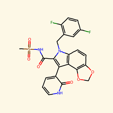 CS(=O)(=O)NC(=O)c1c(-c2ccc[nH]c2=O)c2c3c(ccc2n1Cc1cc(F)ccc1F)OCO3